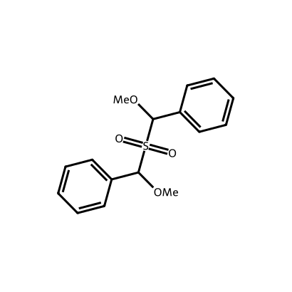 COC(c1ccccc1)S(=O)(=O)C(OC)c1ccccc1